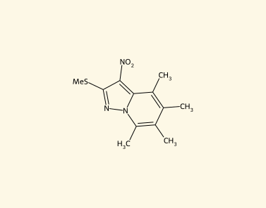 CSc1nn2c(C)c(C)c(C)c(C)c2c1[N+](=O)[O-]